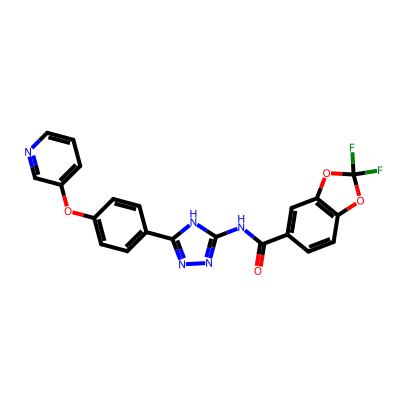 O=C(Nc1nnc(-c2ccc(Oc3cccnc3)cc2)[nH]1)c1ccc2c(c1)OC(F)(F)O2